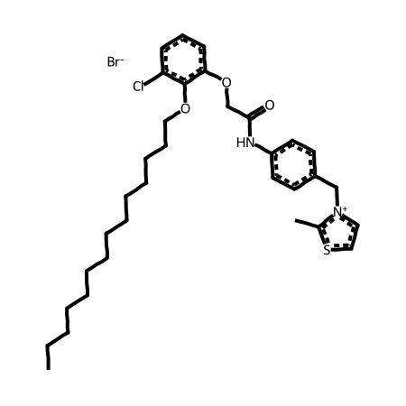 CCCCCCCCCCCCCCOc1c(Cl)cccc1OCC(=O)Nc1ccc(C[n+]2ccsc2C)cc1.[Br-]